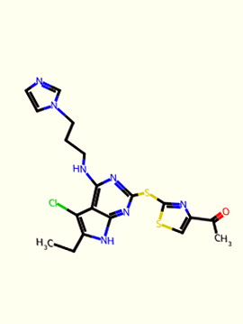 CCc1[nH]c2nc(Sc3nc(C(C)=O)cs3)nc(NCCCn3ccnc3)c2c1Cl